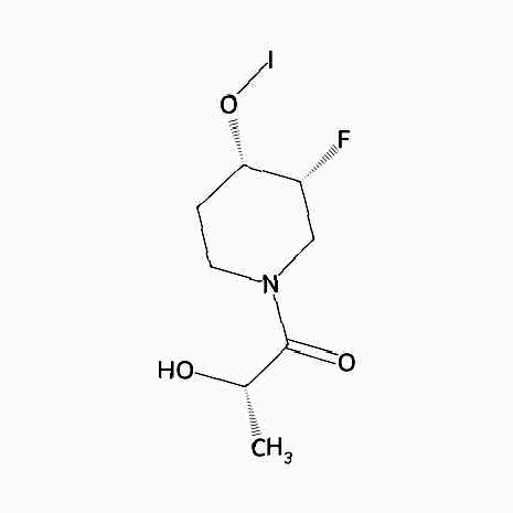 C[C@H](O)C(=O)N1CC[C@H](OI)[C@H](F)C1